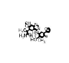 C=C(C(N)=O)c1cc2c(Nc3cc(-c4ccco4)c(F)cc3C(C)(C)O)ncnc2cc1OC